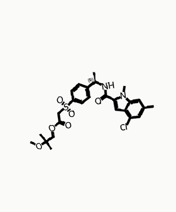 COC(C)(C)COC(=O)CS(=O)(=O)c1ccc([C@@H](C)NC(=O)c2cc3c(Cl)cc(C)cc3n2C)cc1